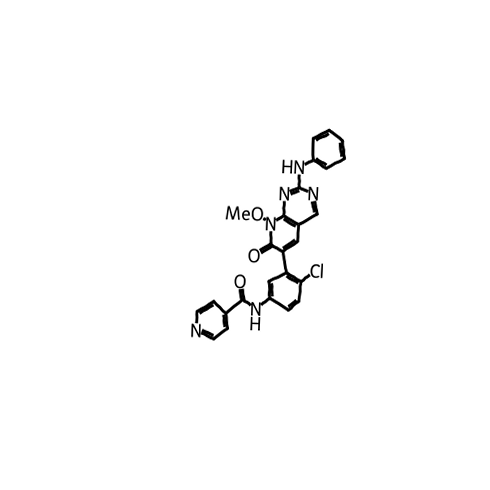 COn1c(=O)c(-c2cc(NC(=O)c3ccncc3)ccc2Cl)cc2cnc(Nc3ccccc3)nc21